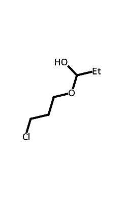 CCC(O)OCCCCl